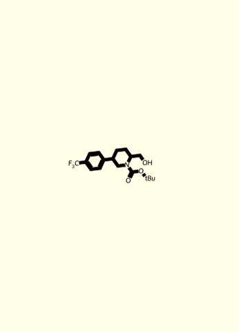 CC(C)(C)OC(=O)N1CC(c2ccc(C(F)(F)F)cc2)CCC1CO